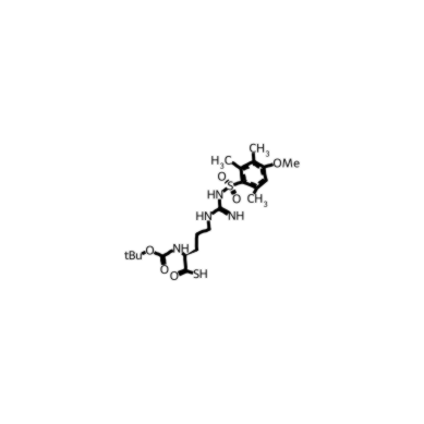 COc1cc(C)c(S(=O)(=O)NC(=N)NCCC[C@H](NC(=O)OC(C)(C)C)C(=O)S)c(C)c1C